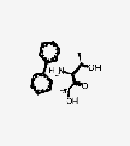 C[C@@H](O)[C@H](N)C(=O)NO.c1ccc(-c2ccccc2)cc1